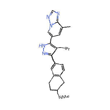 CNC1CCc2cc(-c3n[nH]c(-c4cc(C)c5ncnn5c4)c3C(C)C)ccc2C1